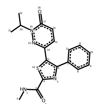 CNC(=O)c1nc(-c2ccccc2)c(-c2ccc(=O)n(C(C)C)n2)s1